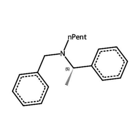 CCCCCN(Cc1ccccc1)[C@@H](C)c1ccccc1